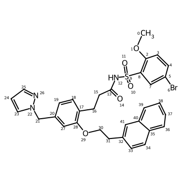 COc1ccc(Br)cc1S(=O)(=O)NC(=O)CCc1ccc(Cn2cccn2)cc1OCCc1ccc2ccccc2c1